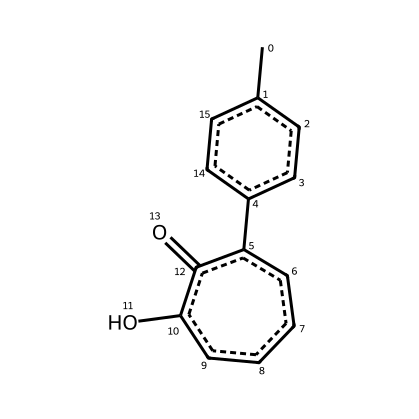 Cc1ccc(-c2ccccc(O)c2=O)cc1